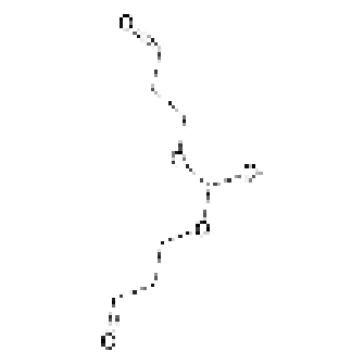 [O]C(OCCC=O)OCCC=O